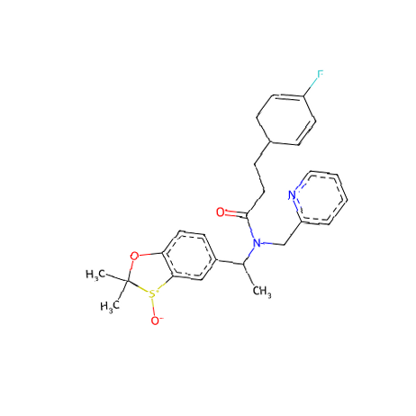 CC(c1ccc2c(c1)[S+]([O-])C(C)(C)O2)N(Cc1ccccn1)C(=O)CCC1C=CC(F)=CC1